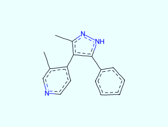 Cc1cnccc1-c1c(C)n[nH]c1-c1ccccc1